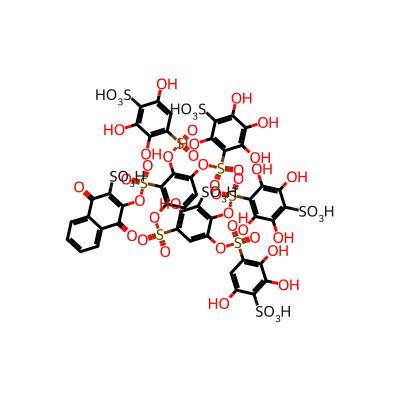 O=C1C(OS(=O)(=O)c2c(OS(=O)(=O)c3cc(OS(=O)(=O)c4cc(O)c(S(=O)(=O)O)c(O)c4O)c(OS(=O)(=O)c4c(O)c(O)c(S(=O)(=O)O)c(O)c4O)c(S(=O)(=O)O)c3O)ccc(OS(=O)(=O)c3c(O)c(O)c(O)c(S(=O)(=O)O)c3O)c2OS(=O)(=O)c2cc(O)c(S(=O)(=O)O)c(O)c2O)=C(S(=O)(=O)O)C(=O)c2ccccc21